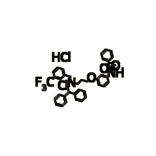 Cl.O=S(=O)(Nc1cccc(OCCCN(Cc2cccc(C(F)(F)F)c2Cl)CC(c2ccccc2)c2ccccc2)c1)c1ccccc1